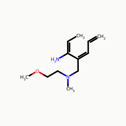 C=C/C=C(CN(C)CCOC)\C(N)=C/C